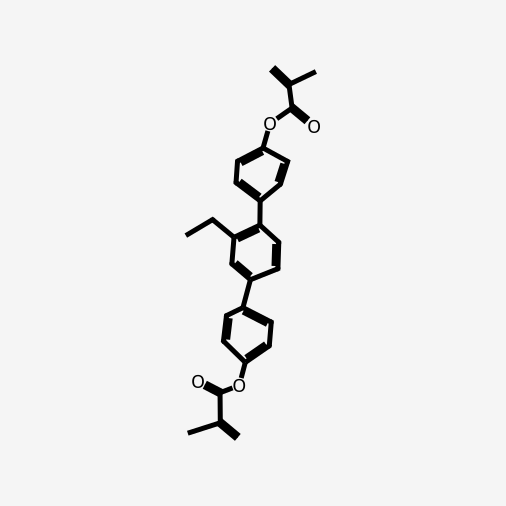 C=C(C)C(=O)Oc1ccc(-c2ccc(-c3ccc(OC(=O)C(=C)C)cc3)c(CC)c2)cc1